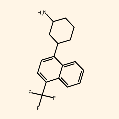 NC1CCCC(c2ccc(C(F)(F)F)c3ccccc23)C1